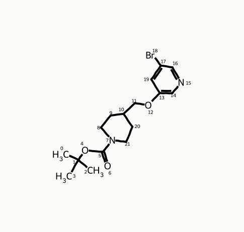 CC(C)(C)OC(=O)N1CCC(COc2cncc(Br)c2)CC1